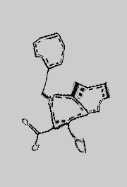 O=C(Cl)c1c(Cl)c2ccccc2n1Cc1ccccc1